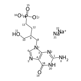 Nc1nc2c(ncn2CC(CO)CCP(=O)([O-])[O-])c(=O)[nH]1.[Na+].[Na+]